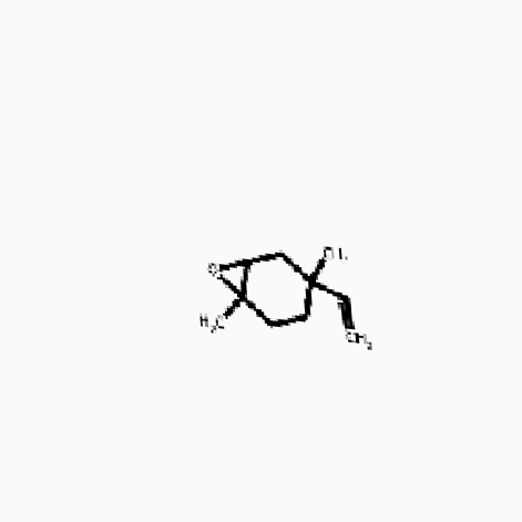 C=CC1(C)CCC2(C)OC2C1